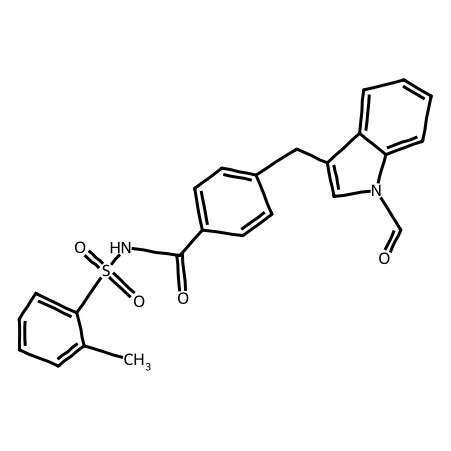 Cc1ccccc1S(=O)(=O)NC(=O)c1ccc(Cc2cn(C=O)c3ccccc23)cc1